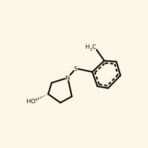 Cc1ccccc1SN1CC[C@H](O)C1